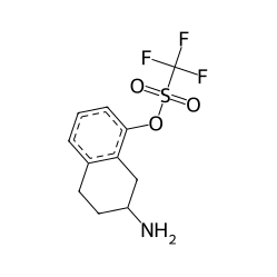 NC1CCc2cccc(OS(=O)(=O)C(F)(F)F)c2C1